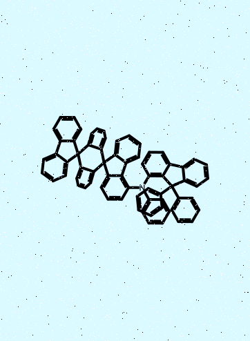 c1ccc(N(c2cccc3c2-c2ccccc2C32c3ccccc3C3(c4ccccc4-c4ccccc43)c3ccccc32)c2cccc3c2C(c2ccccc2)(c2ccccc2)c2ccccc2-3)cc1